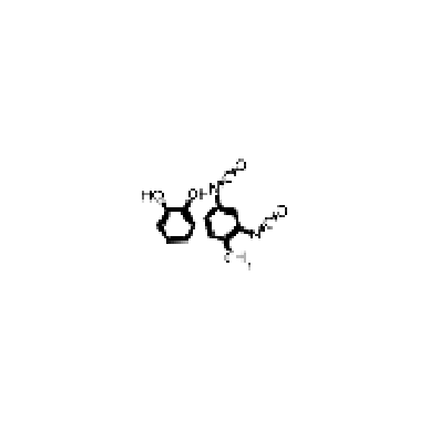 Cc1ccc(N=C=O)cc1N=C=O.Oc1ccccc1O